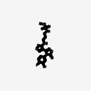 CNS(=O)(=O)NOCCNc1nonc1-c1noc(=O)n1-c1ccc(F)c(Br)c1